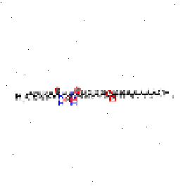 CCCCCCCCCCCCCCCC(=O)OCCCCCCCCCC(=O)NCC(O)CNC(=O)CCCCCCCCC